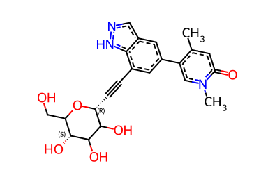 Cc1cc(=O)n(C)cc1-c1cc(C#C[C@H]2OC(CO)[C@@H](O)C(O)C2O)c2[nH]ncc2c1